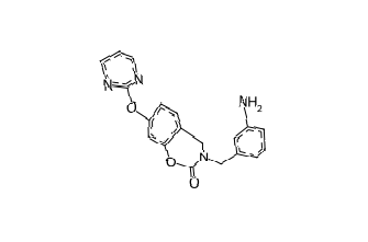 Nc1cccc(CN2Cc3ccc(Oc4ncccn4)cc3OC2=O)c1